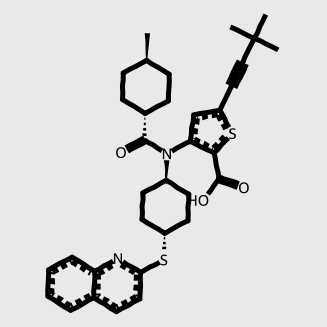 CC(C)(C)C#Cc1cc(N(C(=O)[C@H]2CC[C@H](C)CC2)[C@H]2CC[C@H](Sc3ccc4ccccc4n3)CC2)c(C(=O)O)s1